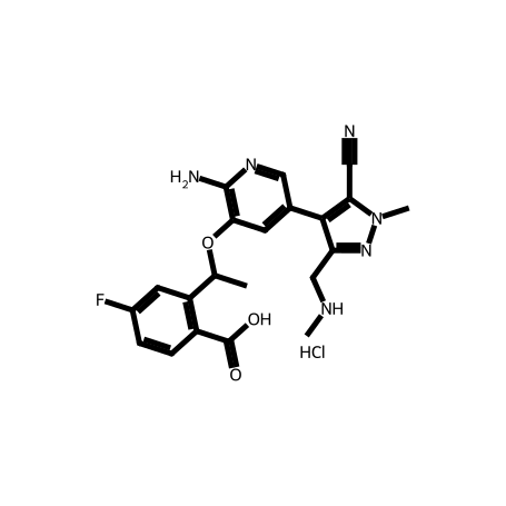 CNCc1nn(C)c(C#N)c1-c1cnc(N)c(OC(C)c2cc(F)ccc2C(=O)O)c1.Cl